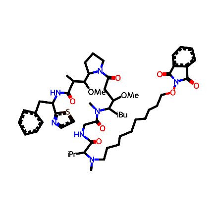 CCC(C)C(C(CC(=O)N1CCCC1C(OC)C(C)C(=O)NC(Cc1ccccc1)c1nccs1)OC)N(C)C(=O)CNC(=O)C(C(C)C)N(C)CCCCCCCCCCON1C(=O)c2ccccc2C1=O